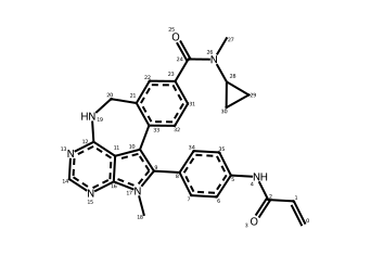 C=CC(=O)Nc1ccc(-c2c3c4c(ncnc4n2C)NCc2cc(C(=O)N(C)C4CC4)ccc2-3)cc1